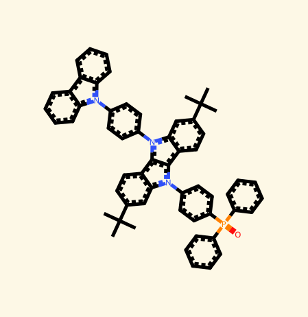 CC(C)(C)c1ccc2c(c1)n(-c1ccc(P(=O)(c3ccccc3)c3ccccc3)cc1)c1c3ccc(C(C)(C)C)cc3n(-c3ccc(-n4c5ccccc5c5ccccc54)cc3)c21